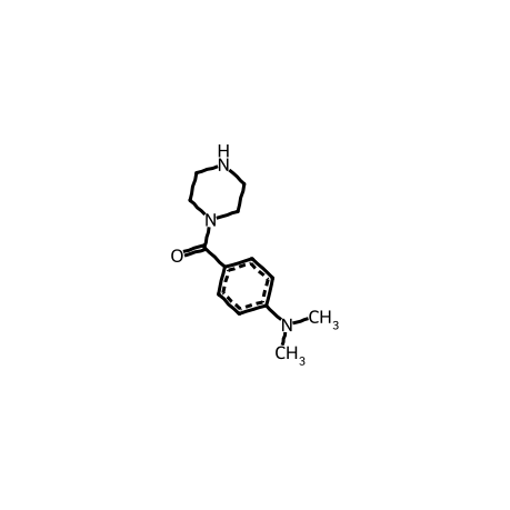 CN(C)c1ccc(C(=O)N2CCNCC2)cc1